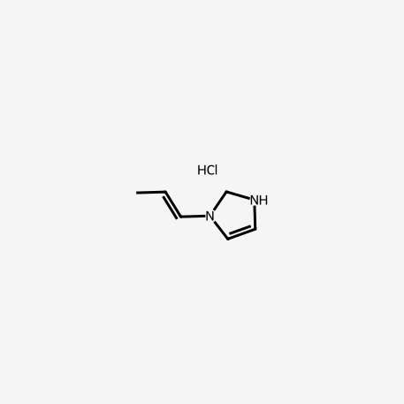 CC=CN1C=CNC1.Cl